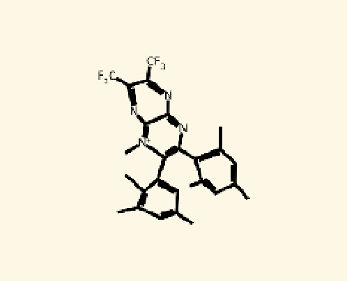 Cc1cc(C)c(-c2nc3nc(C(F)(F)F)c(C(F)(F)F)nc3[n+](C)c2-c2cc(C)cc(C)c2C)c(C)c1